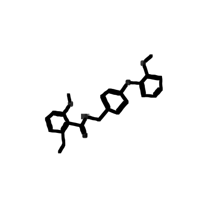 CCc1cccc(OC)c1C(=O)NCc1ccc(Oc2ccccc2OC)cc1